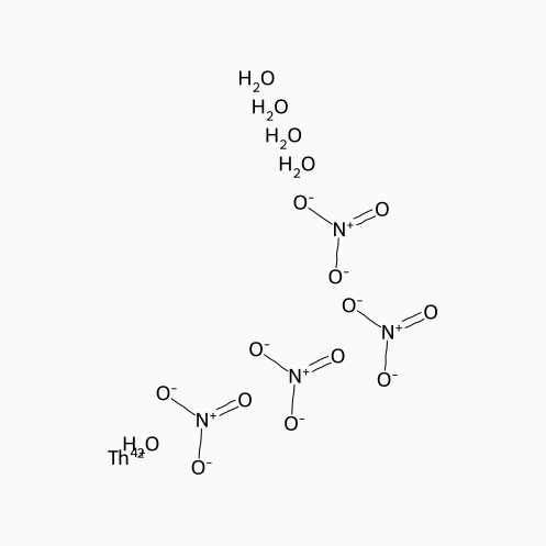 O.O.O.O.O.O=[N+]([O-])[O-].O=[N+]([O-])[O-].O=[N+]([O-])[O-].O=[N+]([O-])[O-].[Th+4]